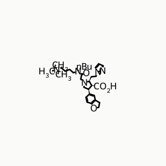 CCCCN(CCCC[N+](C)(C)C)C(=O)CN1C[C@H](c2ccc3c(c2)CCO3)[C@@H](C(=O)O)[C@@H]1CCn1cccn1